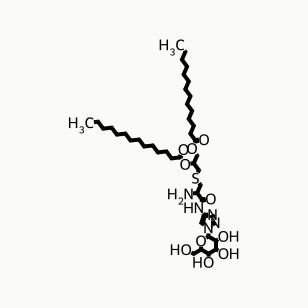 CCCCCCCCCCCCCC(=O)OCC(CSCC(N)C(=O)Nc1cn(C2OC(CO)C(O)C(O)C2O)nn1)OC(=O)CCCCCCCCCCCCC